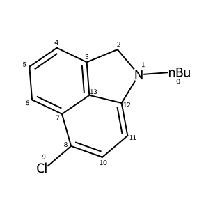 CCCCN1Cc2cccc3c(Cl)ccc1c23